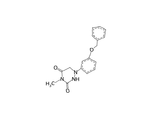 CN1C(=O)CN(c2cccc(OCc3ccccc3)c2)NC1=O